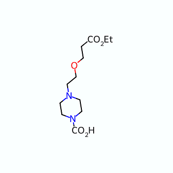 CCOC(=O)CCOCCN1CCN(C(=O)O)CC1